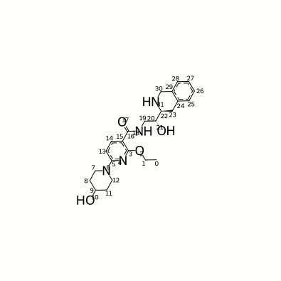 CCOc1nc(N2CCC(O)CC2)ccc1C(=O)NC[C@@H](O)[C@@H]1Cc2ccccc2CN1